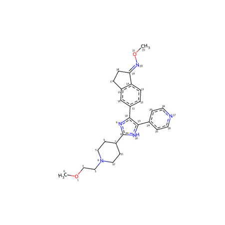 COCCN1CCC(c2nc(-c3ccc4c(c3)CCC4=NOC)c(-c3ccncc3)[nH]2)CC1